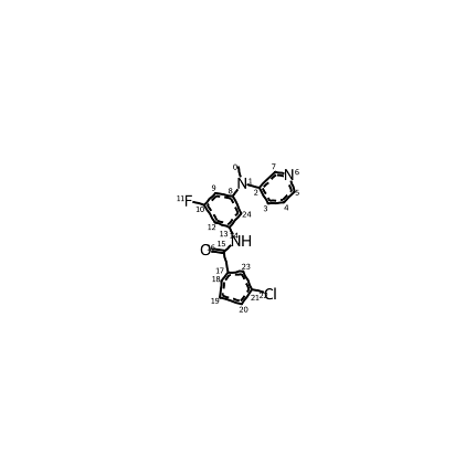 CN(c1cccnc1)c1cc(F)cc(NC(=O)c2cccc(Cl)c2)c1